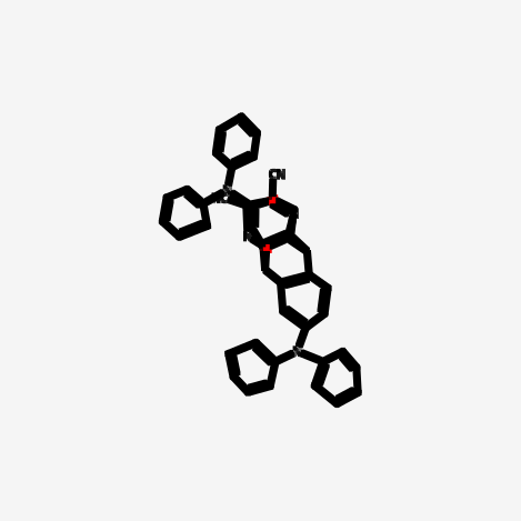 N#Cc1nc2c(nc1C#N)C1c3cc(N(c4ccccc4)c4ccccc4)ccc3C2c2ccc(N(c3ccccc3)c3ccccc3)cc21